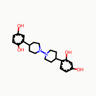 Oc1ccc(C2CCN(N3CCC(c4cc(O)ccc4O)CC3)CC2)c(O)c1